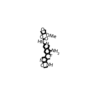 CO[C@H]1COC[C@@H]1OC(=O)Nc1cc2cc(-c3cnc4c(c3C)NCCO4)c(F)c(N)c2cn1